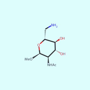 CO[C@H]1O[C@H](CN)[C@@H](O)[C@H](O)[C@H]1NC(C)=O